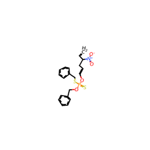 C=CC(C/C=C/OP(=S)(OCc1ccccc1)SCc1ccccc1)[N+](=O)[O-]